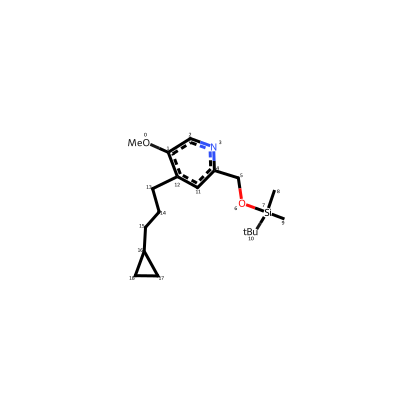 COc1cnc(CO[Si](C)(C)C(C)(C)C)cc1CCCC1CC1